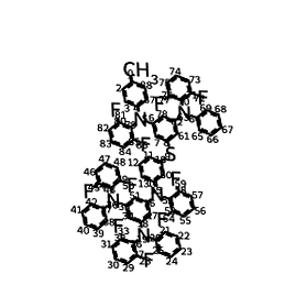 Cc1ccc(N(c2cc(Sc3cccc(N(c4cc(N(c5ccccc5)c5c(F)cccc5F)cc(N(c5ccccc5)c5c(F)cccc5F)c4)c4c(F)cccc4F)c3)cc(N(c3ccccc3)c3c(F)cccc3F)c2)c2c(F)cccc2F)cc1